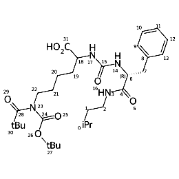 CC(C)CCNC(=O)[C@@H](Cc1ccccc1)NC(=O)NC(CCCCN(C(=O)OC(C)(C)C)C(=O)C(C)(C)C)C(=O)O